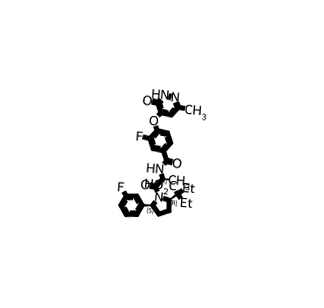 CCC(CC)(C(=O)O)[C@H]1CC[C@@H](c2cccc(F)c2)N1C(=O)[C@@H](C)NC(=O)c1ccc(Oc2cc(C)n[nH]c2=O)c(F)c1